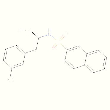 N#Cc1cccc(C[C@H](NS(=O)(=O)c2ccc3ccccc3c2)C(=O)O)c1